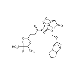 CC(OC(=O)CCC(=O)OC1C2OC(=O)C3C2OC1C3C(=O)OCOC1CC2CC1C1CCCC21)C(F)(F)S(=O)(=O)O